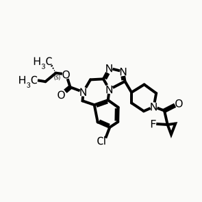 CC[C@H](C)OC(=O)N1Cc2cc(Cl)ccc2-n2c(nnc2C2CCN(C(=O)C3(F)CC3)CC2)C1